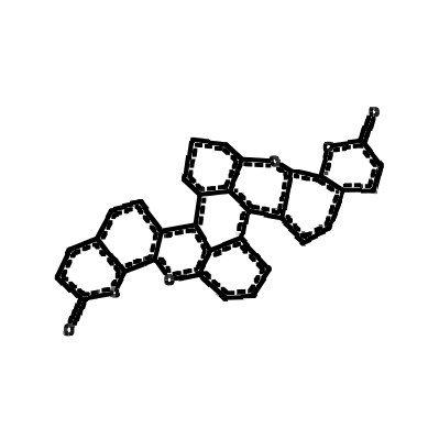 O=c1ccc2ccc3c(oc4cccc5c4c3c3cccc4oc6c(ccc7ccc(=O)oc76)c5c43)c2o1